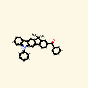 CC1(C)c2cc(C(=O)c3ccccc3)ccc2-c2cc3c(cc21)c1ccccc1n3-c1ccccc1